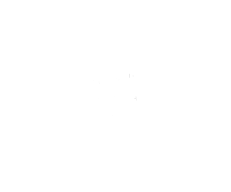 O=S(=O)(O)O.[Cu].[Fe]